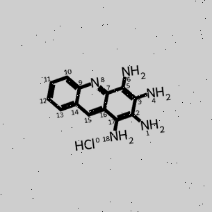 Cl.Nc1c(N)c(N)c2nc3ccccc3cc2c1N